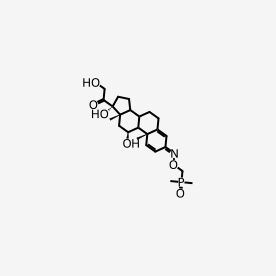 C[C@]12C=CC(=NOCP(C)(C)=O)C=C1CCC1C2[C@@H](O)C[C@@]2(C)C1CC[C@]2(O)C(=O)CO